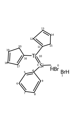 Br.Br.C[Si](c1ccccc1)=[Ti]([C]1=CC=CC1)[C]1=CC=CC1